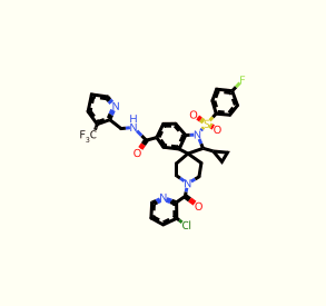 O=C(NCc1ncccc1C(F)(F)F)c1ccc2c(c1)C1(CCN(C(=O)c3ncccc3Cl)CC1)C(C1CC1)N2S(=O)(=O)c1ccc(F)cc1